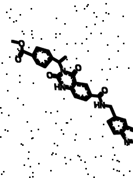 COC(=O)c1ccc(C(C)n2c(=O)[nH]c3ccc(C(=O)NCc4ccc5nonc5c4)cc3c2=O)cc1